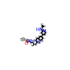 CC(CCN[S+]([O-])C(C)(C)C)Cc1ccc2cc(-c3ccnc(NC4CC4)c3)ccc2n1